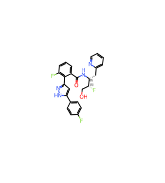 O=C(N[C@H](Cc1ccccn1)[C@H](F)CO)c1cccc(F)c1-c1cc(-c2ccc(F)cc2)[nH]n1